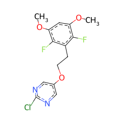 COc1cc(OC)c(F)c(CCOc2cnc(Cl)nc2)c1F